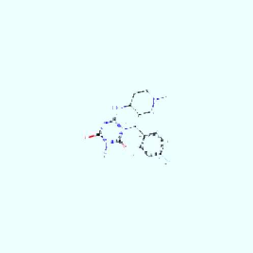 CC(C)n1c(=O)nc(NC2CCN(C)CC2)n(Cc2ccc(F)cc2)c1=O